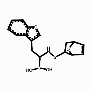 OB(O)C(Cc1coc2ccccc12)NSC1CC2C=CC1O2